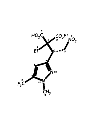 CCOC(=O)C(CC)(C(=O)O)[C@H](C[N+](=O)[O-])c1cc(C(F)(F)F)n(C)n1